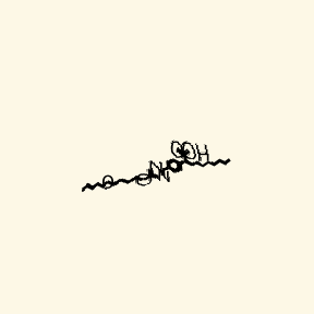 CCCCCCCC=C(C(=O)O)c1ccc(-c2ncc(OCCCCOCCCCC)cn2)cc1